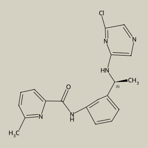 Cc1cccc(C(=O)Nc2cccc([C@H](C)Nc3cncc(Cl)n3)c2)n1